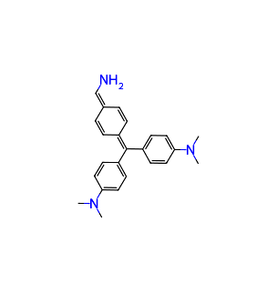 CN(C)c1ccc(C(c2ccc(N(C)C)cc2)=c2ccc(=CN)cc2)cc1